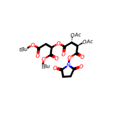 CC(=O)O[C@@H](C(=O)OC(CC(=O)OC(C)(C)C)C(=O)OC(C)(C)C)[C@@H](OC(C)=O)C(=O)ON1C(=O)CCC1=O